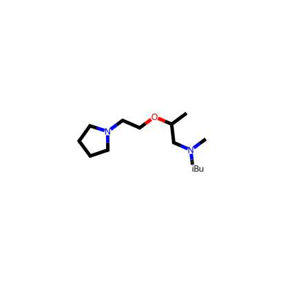 CCC(C)N(C)CC(C)OCCN1CCCC1